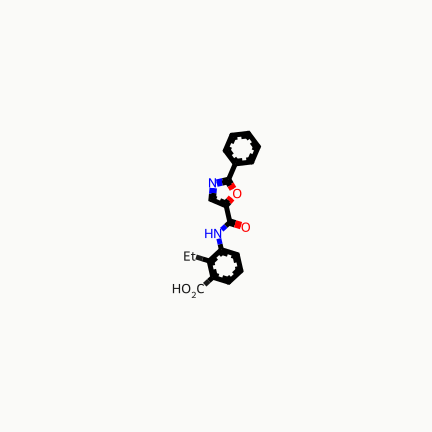 CCc1c(NC(=O)c2cnc(-c3ccccc3)o2)cccc1C(=O)O